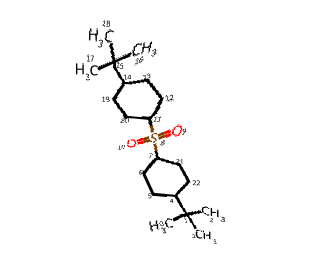 CC(C)(C)C1CCC(S(=O)(=O)C2CCC(C(C)(C)C)CC2)CC1